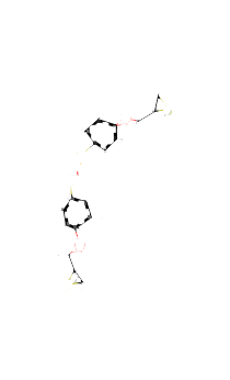 c1cc(SOSc2ccc(OCC3CS3)cc2)ccc1OCC1CS1